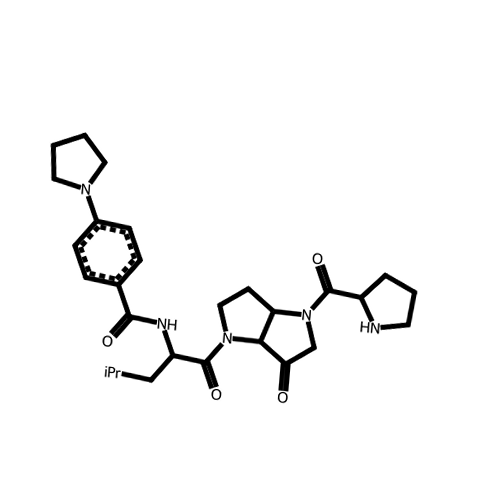 CC(C)CC(NC(=O)c1ccc(N2CCCC2)cc1)C(=O)N1CCC2C1C(=O)CN2C(=O)C1CCCN1